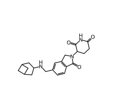 O=C1CCC(N2Cc3cc(CNC4CC5CC(C5)C4)ccc3C2=O)C(=O)N1